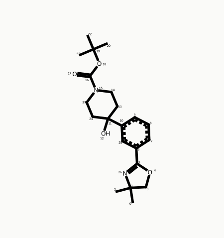 CC1(C)COC(c2cccc(C3(O)CCN(C(=O)OC(C)(C)C)CC3)c2)=N1